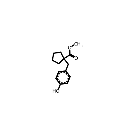 COC(=O)C1(Cc2ccc(O)cc2)CCCC1